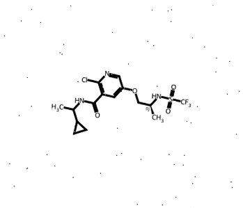 CC(NC(=O)c1cc(OC[C@H](C)NS(=O)(=O)C(F)(F)F)cnc1Cl)C1CC1